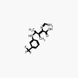 C=C(Nc1cccc(C(F)(F)F)c1)/C(C)=C(\N=C/N)C(=O)O